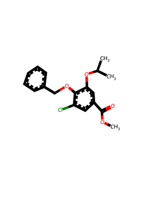 COC(=O)c1cc(Cl)c(OCc2ccccc2)c(OC(C)C)c1